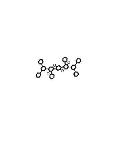 c1ccc(-c2cc(-c3ccccc3)cc(-c3cc4oc5cc6c(cc5c4c4c3oc3ccccc34)oc3cc(-c4cc(-c5ccccc5)cc(-c5ccccc5)c4)c4oc5ccccc5c4c36)c2)cc1